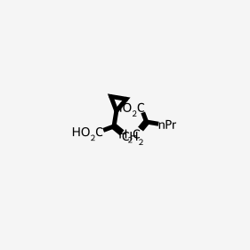 C=C(C(=O)O)C1CC1.C=C(CCC)C(=O)O